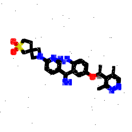 Cc1cnnc(C)c1[C@H](C)Oc1ccc(N)c(C(=N)c2ccc(N3CC4(CCS(=O)(=O)C4)C3)nc2)c1